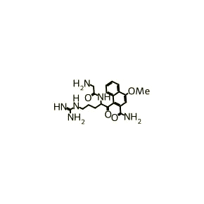 COc1cc(C(N)=O)c(C(=O)C(CCCNC(=N)N)NC(=O)CN)c2ccccc12